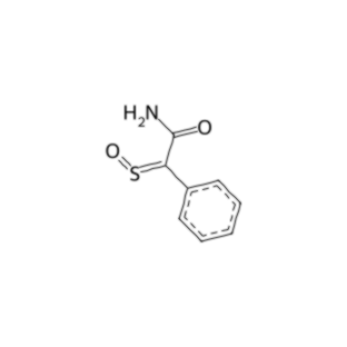 NC(=O)C(=S=O)c1ccccc1